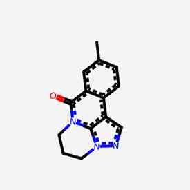 Cc1ccc2c(c1)c(=O)n1c3c2cnn3CCC1